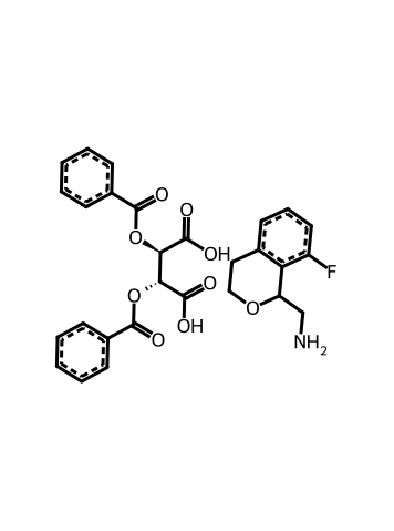 NCC1OCCc2cccc(F)c21.O=C(O[C@@H](C(=O)O)[C@@H](OC(=O)c1ccccc1)C(=O)O)c1ccccc1